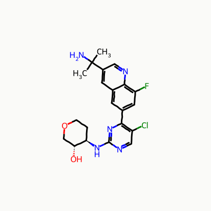 CC(C)(N)c1cnc2c(F)cc(-c3nc(N[C@@H]4CCOC[C@H]4O)ncc3Cl)cc2c1